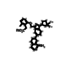 CCOC(=O)Cc1c(C)cccc1OCc1nn(C2CCC(F)(F)C2)c2ccc(-c3ccc4ccnc(N)c4c3)cc12